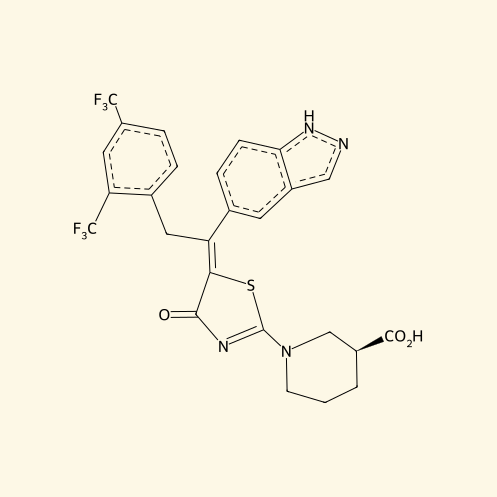 O=C1N=C(N2CCC[C@H](C(=O)O)C2)SC1=C(Cc1ccc(C(F)(F)F)cc1C(F)(F)F)c1ccc2[nH]ncc2c1